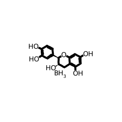 B.Oc1cc(O)c2c(c1)O[C@H](c1ccc(O)c(O)c1)[C@@H](O)C2